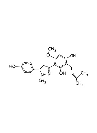 COc1cc(O)c(CC=C(C)C)c(O)c1C1=NN(C)C(c2ccc(O)cc2)C1